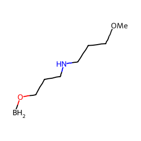 BOCCCNCCCOC